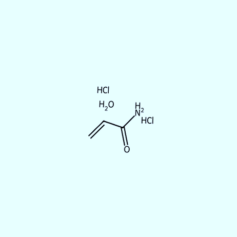 C=CC(N)=O.Cl.Cl.O